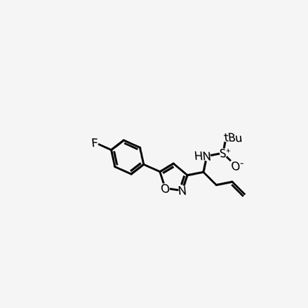 C=CCC(N[S+]([O-])C(C)(C)C)c1cc(-c2ccc(F)cc2)on1